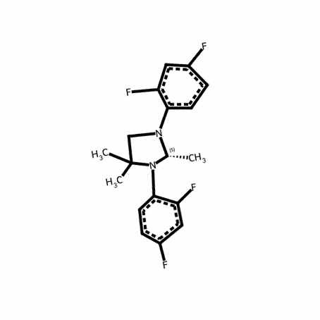 C[C@H]1N(c2ccc(F)cc2F)CC(C)(C)N1c1ccc(F)cc1F